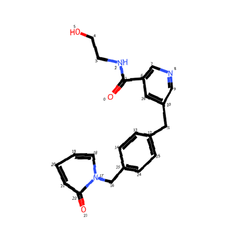 O=C(NCCO)c1cncc(Cc2ccc(Cn3ccccc3=O)cc2)c1